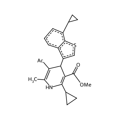 COC(=O)C1=C(C2CC2)NC(C)=C(C(C)=O)C1c1csc2c(C3CC3)cccc12